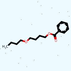 CCCCOCCCCOC(=O)c1ccccc1